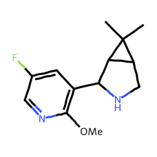 COc1ncc(F)cc1C1NCC2C1C2(C)C